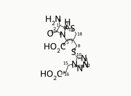 NC1C(=O)N2C(C(=O)O)=C(CSc3nnnn3CCC(=O)O)CS[C@@H]12